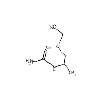 CC(COCO)NC(=N)N